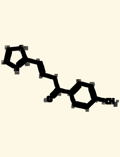 [CH2]c1ccc(C(=O)CC=Cc2nccs2)cc1